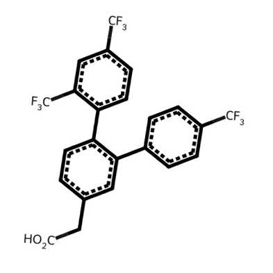 O=C(O)Cc1ccc(-c2ccc(C(F)(F)F)cc2C(F)(F)F)c(-c2ccc(C(F)(F)F)cc2)c1